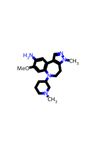 COc1cc2c(cc1N)-c1cnn(C)c1CCN2C1CCCN(C)C1